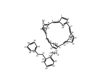 C1=Cc2cc3ccc(cc4nc(cc5ccc(cc1n2)[nH]5)C=C4)[nH]3.Nc1ccccc1CCc1ccccc1.[V]